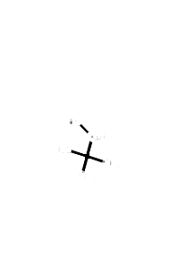 CC(C)[AsH]C(C)(C)C